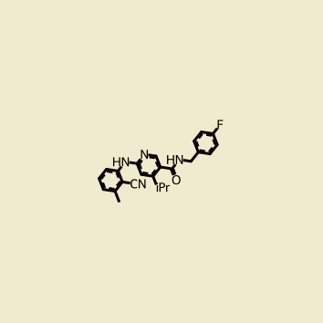 Cc1cccc(Nc2cc(C(C)C)c(C(=O)NCc3ccc(F)cc3)cn2)c1C#N